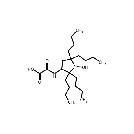 CCCCC1(CCCC)CC(NC(=O)C(=O)O)C(CCCC)(CCCC)N1O